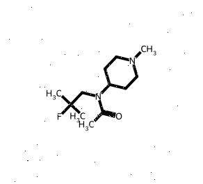 CC(=O)N(CC(C)(C)F)C1CCN(C)CC1